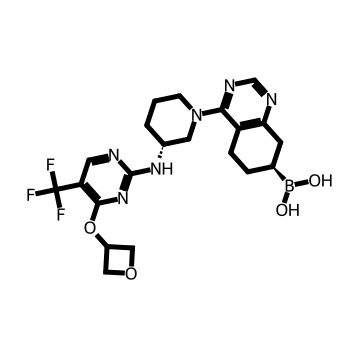 OB(O)[C@H]1CCc2c(ncnc2N2CCC[C@@H](Nc3ncc(C(F)(F)F)c(OC4COC4)n3)C2)C1